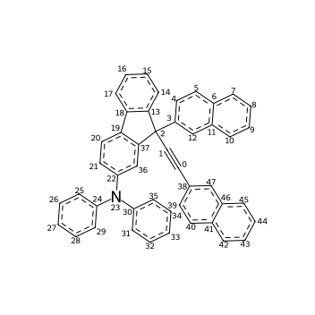 C(#CC1(c2ccc3ccccc3c2)c2ccccc2-c2ccc(N(c3ccccc3)c3ccccc3)cc21)c1ccc2ccccc2c1